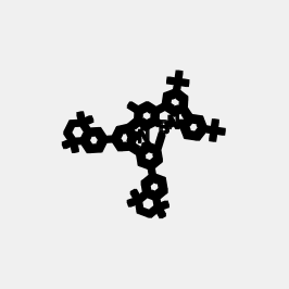 Cc1cc2c3c4c1c1cc(-c5ccc6c(c5)C(C)(C)CCC6(C)C)cc5c6cc(-c7ccc8c(c7)C(C)(C)CCC8(C)C)cc(c6n4c51)B3n1c3ccc(C(C)(C)C)cc3c3cc(C(C)(C)C)cc-2c31